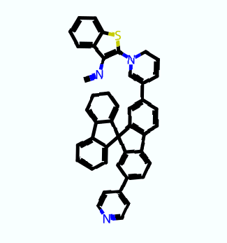 C=Nc1c(N2C=C(c3ccc4c(c3)C3(C5=CCCC=C5c5ccccc53)c3cc(-c5ccncc5)ccc3-4)C=CC2)sc2ccccc12